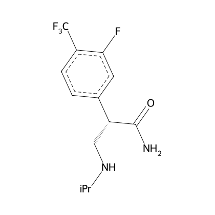 CC(C)NC[C@@H](C(N)=O)c1ccc(C(F)(F)F)c(F)c1